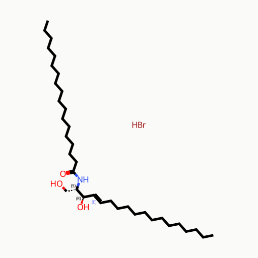 Br.CCCCCCCCCCCCC/C=C/[C@@H](O)[C@H](CO)NC(=O)CCCCCCCCCCCCCCCCC